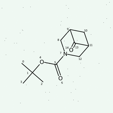 CC(C)(C)OC(=O)N1CC2CC(C1)C2=O